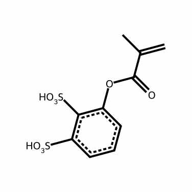 C=C(C)C(=O)Oc1cccc(S(=O)(=O)O)c1S(=O)(=O)O